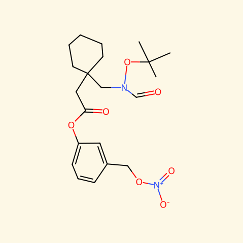 CC(C)(C)ON(C=O)CC1(CC(=O)Oc2cccc(CO[N+](=O)[O-])c2)CCCCC1